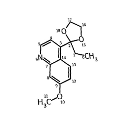 CCC1(c2ccnc3cc(OC)ccc23)OCCO1